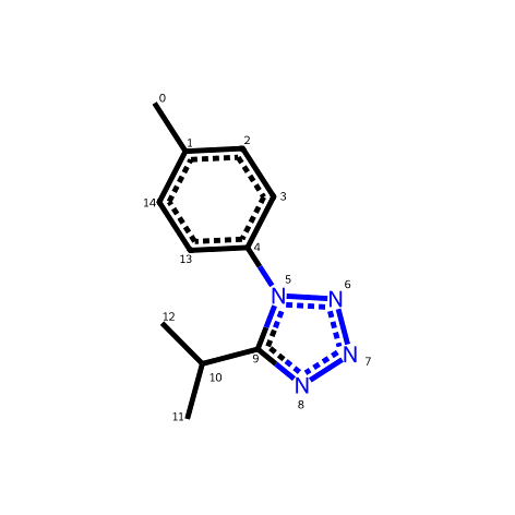 Cc1ccc(-n2nnnc2C(C)C)cc1